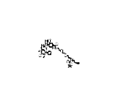 C#CCCN(CCCOCCOCCNC(=O)c1ccc(Nc2ncc3c(n2)N(C2CCCC2)[C@H](CC)C(=O)N3C)c(OC)c1)C(=O)OC(C)(C)C